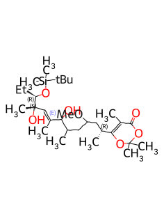 CC[C@@H](O[Si](C)(C)C(C)(C)C)[C@@](C)(O)/C=C(\C)C(O)C(C)CC(C[C@@H](C)C1=C(C)C(=O)OC(C)(C)O1)OC